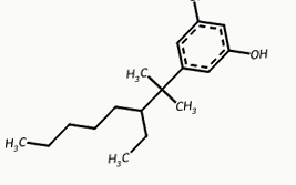 CCCCCC(CC)C(C)(C)c1cc(O)cc(O)c1